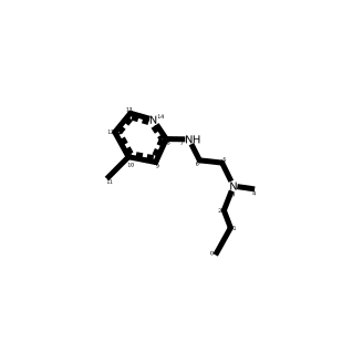 CCCN(C)CCNc1cc(C)ccn1